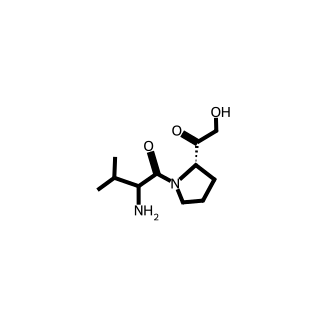 CC(C)C(N)C(=O)N1CCC[C@H]1C(=O)CO